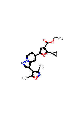 CCOC(=O)c1cc(-c2ccn3ncc(-c4c(C)noc4C)c3c2)oc1C1CC1